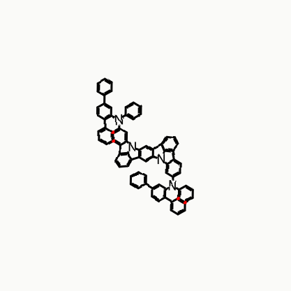 c1ccc(-c2ccc(-c3ccccc3)c(N(c3ccccc3)c3ccc4c5cccc6c7cc8c(cc7n(c4c3)c56)c3cccc4c5ccc(N(c6ccccc6)c6cc(-c7ccccc7)ccc6-c6ccccc6)cc5n8c43)c2)cc1